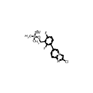 CC(C)(C)[Si](C)(C)OCc1c(F)ccc(-c2ccc3nc(Cl)cn3c2)c1F